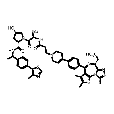 Cc1ncsc1-c1ccc(C(C)NC(=O)[C@@H]2C[C@@H](O)CN2C(=O)C(NC(=O)CCN2CC=C(c3ccc(C4=N[C@@H](CC(=O)O)c5nnc(C)n5-c5sc(C)c(C)c54)cc3)CC2)C(C)(C)C)cc1